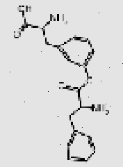 N[C@@H](Cc1cccc(OC(=O)[C@@H](N)Cc2ccccc2)c1)C(=O)O